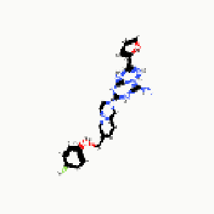 Nc1nc(N2CCN3CC(COc4ccc(F)cc4)CCC3C2)nc2nc(-c3ccco3)nn12